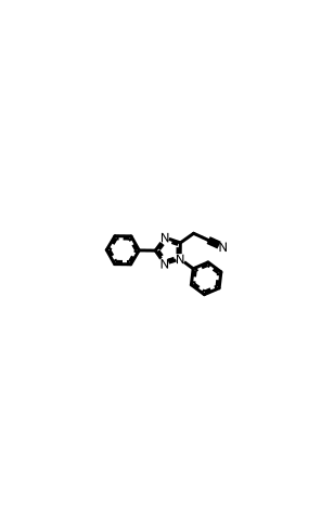 N#CCc1nc(-c2ccccc2)nn1-c1ccccc1